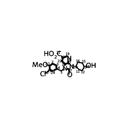 COc1ccc(Cn2c(=O)n([C@H]3CC[C@H](O)CC3)c3ncc(C(=O)O)cc32)cc1Cl